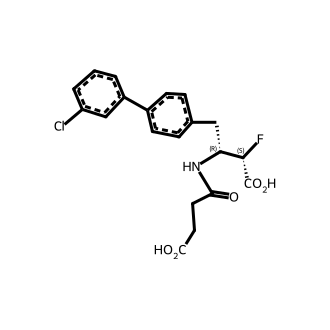 O=C(O)CCC(=O)N[C@H](Cc1ccc(-c2cccc(Cl)c2)cc1)[C@H](F)C(=O)O